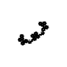 C1=CC(c2ccc(/C=C/c3ccc4c(c3)C3(c5ccccc5-c5ccccc53)c3cc(/C=C/c5ccc(-c6ccc7c(c6)c6ccccc6n7-c6cc7ccccc7c7ccccc67)s5)ccc3-4)s2)Cc2c1n(-c1cc3ccccc3c3ccccc13)c1ccccc21